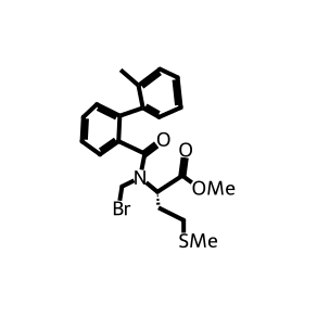 COC(=O)[C@H](CCSC)N(CBr)C(=O)c1ccccc1-c1ccccc1C